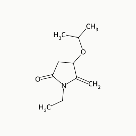 C=C1C(OC(C)C)CC(=O)N1CC